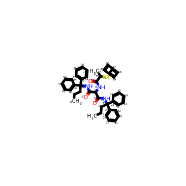 CCCC(NC(=O)C(NC(=O)C(C)S)C(=O)NC(CCC)(c1ccccc1)c1ccccc1)(c1ccccc1)c1ccccc1.c1cc2ccc1-2